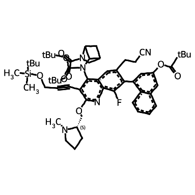 CN1CCC[C@H]1COc1nc2c(F)c(-c3cc(OC(=O)C(C)(C)C)cc4ccccc34)c(CCC#N)cc2c(N(C(=O)OC(C)(C)C)C2C3CC2N(C(=O)OC(C)(C)C)C3)c1C#CCO[Si](C)(C)C(C)(C)C